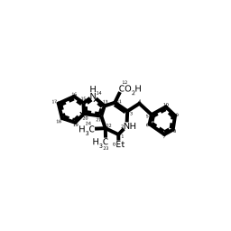 CCC1NC(Cc2ccccc2)=C(C(=O)O)c2[nH]c3ccccc3c2C1(C)C